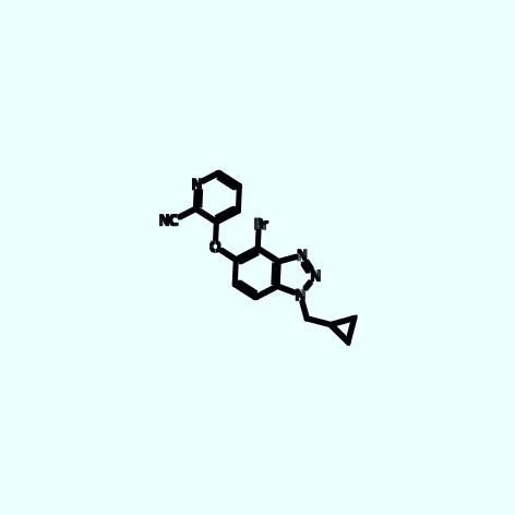 N#Cc1ncccc1Oc1ccc2c(nnn2CC2CC2)c1Br